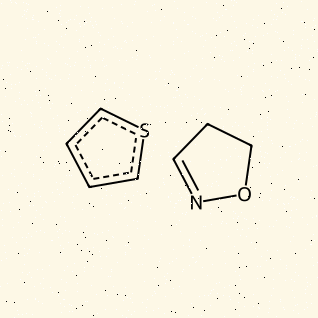 C1=NOCC1.c1ccsc1